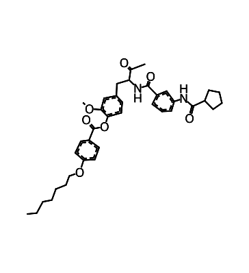 CCCCCCCOc1ccc(C(=O)Oc2ccc(CC(NC(=O)c3cccc(NC(=O)C4CCCC4)c3)C(C)=O)cc2OC)cc1